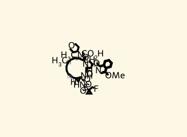 COc1cnc(O[C@@H]2C[C@H]3C(=O)N[C@]4(C(=O)NS(=O)(=O)C5(CF)CC5)C[C@H]4/C=C\CC[C@@H](C)C[C@@H](C)[C@H](N(C(=O)O)C4CCOCC4)C(=O)[N+]3(C)C2)c2ccccc12